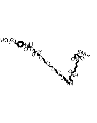 CSC1CC(=O)N(CCCCCC(=O)NCc2cnnn2CCOCCOCCOCCOCCOCCNC(=O)COCC(=O)Nc2ccc(COC(=O)O)cc2)C1=O